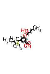 C=CCC(C)SC(=C)c1cc(OC[C@@H](O)CCCC)cc(C(=O)O)c1